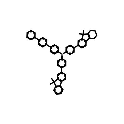 CC1(C)C2=C(CCCC2)c2ccc(-c3ccc(N(c4ccc(-c5ccc(-c6ccccc6)cc5)cc4)c4ccc(-c5ccc6c(c5)C(C)(C)c5ccccc5-6)cc4)cc3)cc21